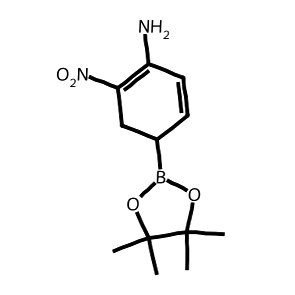 CC1(C)OB(C2C=CC(N)=C([N+](=O)[O-])C2)OC1(C)C